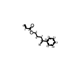 C=CC(=O)OCCCC(I)c1ccccc1